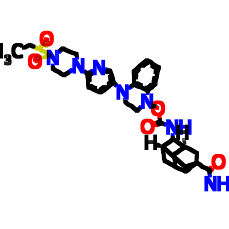 CCS(=O)(=O)N1CCN(c2ccc(N3CCN(OC(=O)NC4[C@@H]5CC6C[C@H]4CC(C(N)=O)(C6)C5)c4ccccc43)cn2)CC1